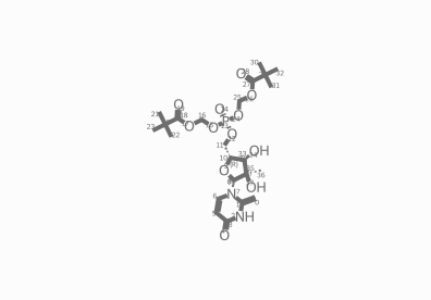 C=C1NC(=O)C=CN1[C@@H]1O[C@H](COP(=O)(OCOC(=O)C(C)(C)C)OCOC(=O)C(C)(C)C)[C@@H](O)[C@@]1(C)O